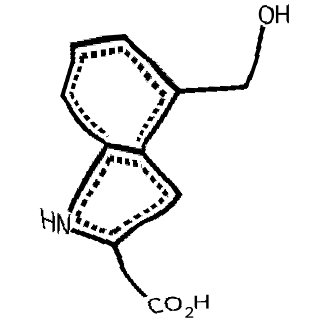 O=C(O)c1cc2c(CO)cccc2[nH]1